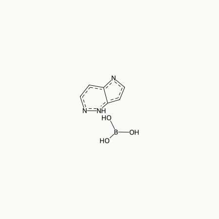 OB(O)O.c1cc2nccc-2[nH]n1